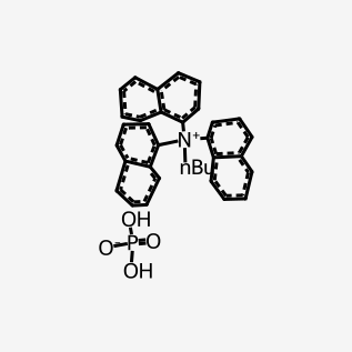 CCCC[N+](c1cccc2ccccc12)(c1cccc2ccccc12)c1cccc2ccccc12.O=P([O-])(O)O